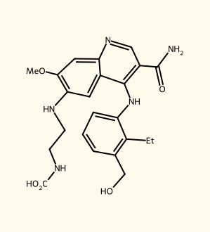 CCc1c(CO)cccc1Nc1c(C(N)=O)cnc2cc(OC)c(NCCNC(=O)O)cc12